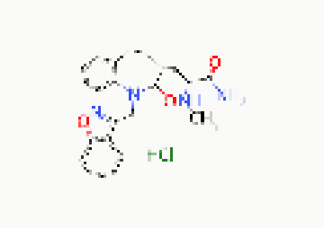 CN[C@@H](C[C@@H]1CCc2ccccc2N(Cc2noc3ccccc23)C1=O)C(N)=O.Cl